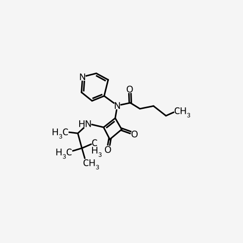 CCCCC(=O)N(c1ccncc1)c1c(NC(C)C(C)(C)C)c(=O)c1=O